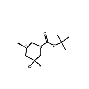 C[C@H]1CN(C(=O)OC(C)(C)C)CC(C)(O)C1